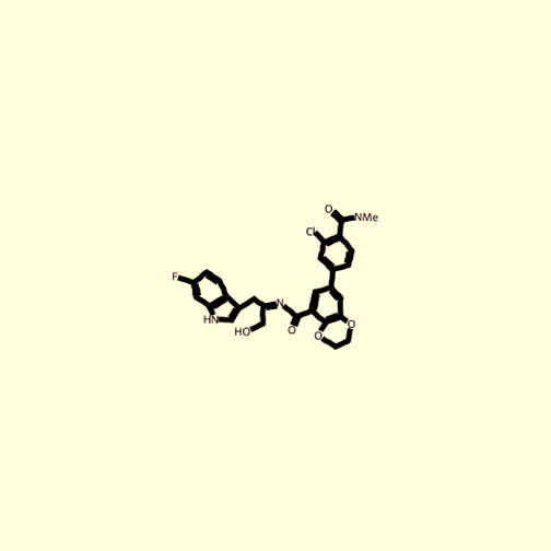 CNC(=O)c1ccc(-c2cc3c(c(C(=O)/N=C(\CO)Cc4c[nH]c5cc(F)ccc45)c2)OCCO3)cc1Cl